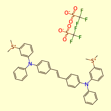 C[S+](C)c1cccc(N(c2ccccc2)c2ccc(C=Cc3ccc(N(c4ccccc4)c4cccc([S+](C)C)c4)cc3)cc2)c1.O=S(=O)([O-])C(F)(F)F.O=S(=O)([O-])C(F)(F)F